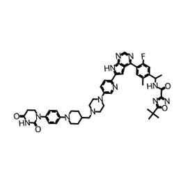 Cc1cc(-c2ncnc3[nH]c(-c4ccc(N5CCN(CC6CCN(c7ccc(N8CCC(=O)NC8=O)cc7)CC6)CC5)cn4)cc23)c(F)cc1C(C)NC(=O)c1noc(C(C)(C)C)n1